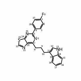 Fc1ccc(-c2nc(CCCc3c[nH]c4ccccc34)c3ncsc3n2)cc1